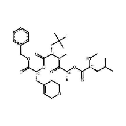 CN[C@@H](CC(C)C)C(=O)O[C@H](C)C(=O)N(C)[C@@H](CC(C)(C)F)C(=O)O[C@H](CC1=CCOCC1)C(=O)OCc1ccccc1